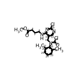 COC(=O)CCCNc1nc(Cl)ncc1CN(C(=O)Cl)c1c(C)cccc1C